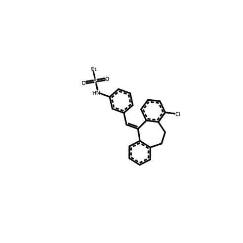 CCS(=O)(=O)Nc1cccc(C=C2c3ccccc3CCc3c(Cl)cccc32)c1